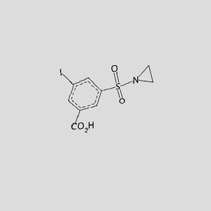 O=C(O)c1cc(I)cc(S(=O)(=O)N2CC2)c1